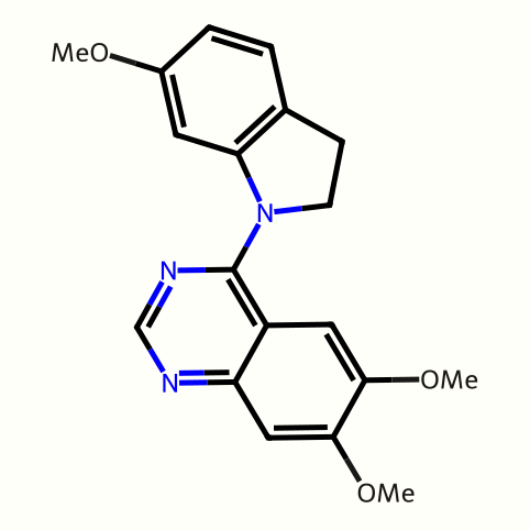 COc1ccc2c(c1)N(c1ncnc3cc(OC)c(OC)cc13)CC2